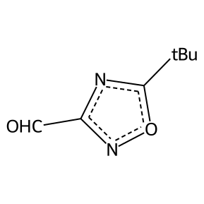 CC(C)(C)c1nc(C=O)no1